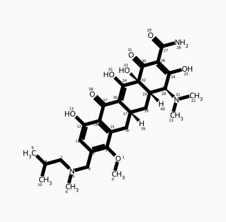 COc1c(CN(C)CC(C)C)cc(O)c2c1C[C@H]1C[C@H]3[C@H](N(C)C)C(O)=C(C(N)=O)C(=O)[C@@]3(O)C(O)=C1C2=O